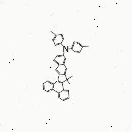 Cc1ccc(N(c2ccc(C)cc2)c2ccc3cc4c(cc3c2)C(C)(C)c2c-4c3ccccc3c3ccccc23)cc1